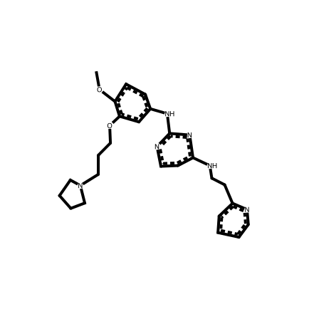 COc1ccc(Nc2nccc(NCCc3ccccn3)n2)cc1OCCCN1CCCC1